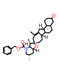 CC1=C2C[C@H]3C(CCC4CC(=O)CC[C@@]43C)[C@@H]2CC[C@@]2(C1)O[C@@H]1C[C@H](C)CN(C(=O)OCc3ccccc3)[C@H]1[C@H]2C